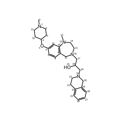 CN1CCC(Oc2ccc3c(c2)N(C)CCN(CC(O)CN2CCc4ccccc4C2)C3)CC1